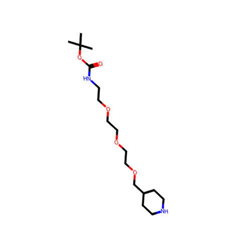 CC(C)(C)OC(=O)NCCOCCOCCOCC1CCNCC1